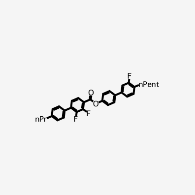 CCCCCc1ccc(-c2ccc(OC(=O)c3ccc(-c4ccc(CCC)cc4)c(F)c3F)cc2)cc1F